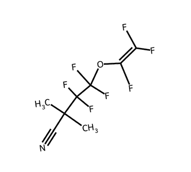 CC(C)(C#N)C(F)(F)C(F)(F)OC(F)=C(F)F